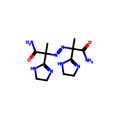 CC(N=NC(C)(C(N)=O)C1=NCCN1)(C(N)=O)C1=NCCN1